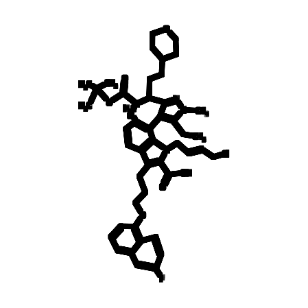 CCc1c(-c2c(Cl)ccc3c(CCCOc4cccc5cc(F)ccc45)c(C(=O)O)n(C/C=C/CCl)c23)c(C(CCC2CCOCC2)N(C)C(=O)OC(C)(C)C)nn1C